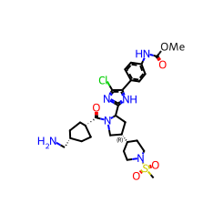 COC(=O)Nc1ccc(-c2[nH]c(C3C[C@H](C4CCN(S(C)(=O)=O)CC4)CN3C(=O)[C@H]3CC[C@@H](CN)CC3)nc2Cl)cc1